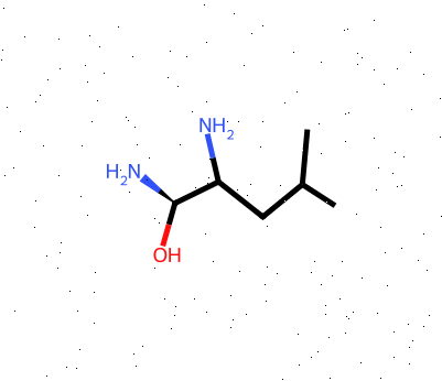 CC(C)CC(N)[C@H](N)O